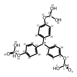 O=[PH](O)Oc1ccc(P(c2ccc(OP(O)O)cc2)c2ccc(O[PH](=O)O)cc2)cc1